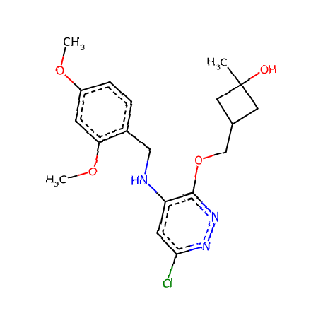 COc1ccc(CNc2cc(Cl)nnc2OCC2CC(C)(O)C2)c(OC)c1